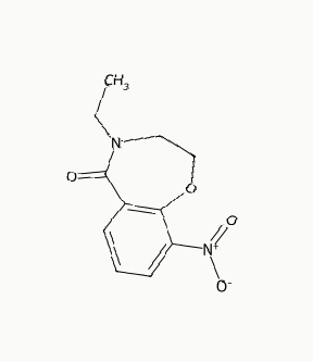 CCN1CCOc2c(cccc2[N+](=O)[O-])C1=O